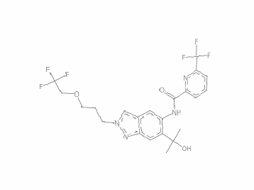 CC(C)(O)c1cc2nn(CCCOCC(F)(F)F)cc2cc1NC(=O)c1cccc(C(F)(F)F)n1